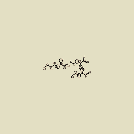 C=C(C)C(=O)OCC.C=CC(=O)OCC.C=CC(=O)OCCCC